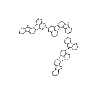 c1cc2c3c(cc(-c4cc5c6c(cccc6c4)-c4c-5ccc5oc6ccc(-c7ccc8c(c7)c7ccccc7n8-c7ccc8c9c(cccc79)-c7c-8ccc8c7oc7ccccc78)cc6c45)cc3c1)-c1ccc3c(oc4ccccc43)c1-2